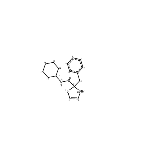 C1=CSC(Cc2ccccc2)(SNC2CCCCC2)N1